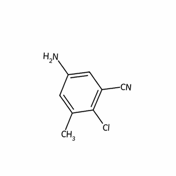 Cc1cc(N)cc(C#N)c1Cl